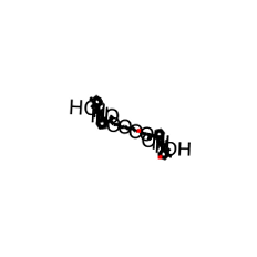 Cc1cccc(-n2n3c4cccc(C(=O)OCCOCCOCCOC(=O)c5cccc6c5n5n(-c7cccc(C)c7O)n65)c4n23)c1O